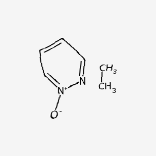 CC.[O-][n+]1ccccn1